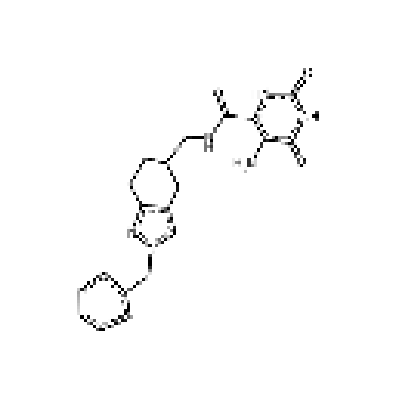 Nc1c(C(=O)NCC2CCc3nn(Cc4ccccc4)cc3C2)[nH]c(=O)[nH]c1=O